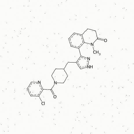 CN1C(=O)CCc2cccc(-c3n[nH]cc3CC3CCN(C(=O)c4ncccc4Cl)CC3)c21